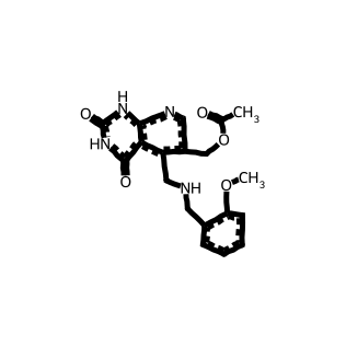 COc1ccccc1CNCc1c(COC(C)=O)cnc2[nH]c(=O)[nH]c(=O)c12